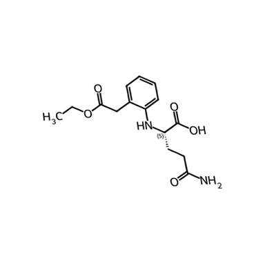 CCOC(=O)Cc1ccccc1N[C@@H](CCC(N)=O)C(=O)O